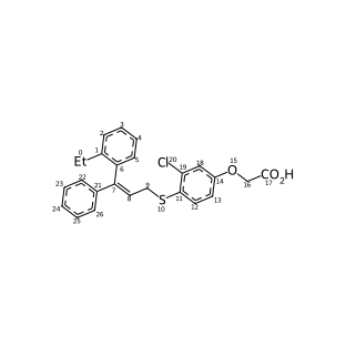 CCc1ccccc1/C(=C\CSc1ccc(OCC(=O)O)cc1Cl)c1ccccc1